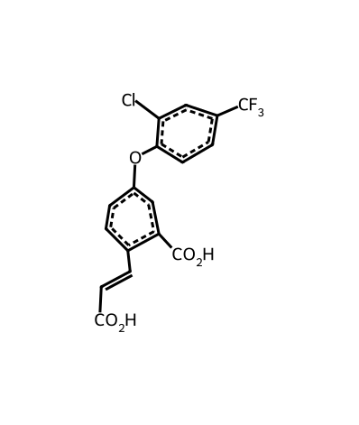 O=C(O)C=Cc1ccc(Oc2ccc(C(F)(F)F)cc2Cl)cc1C(=O)O